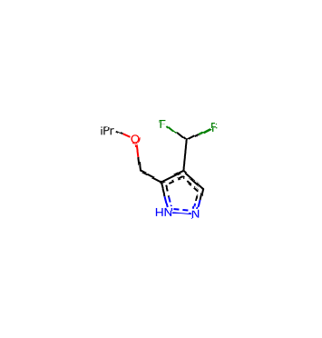 CC(C)OCc1[nH]ncc1C(F)F